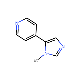 CCn1cncc1-c1ccncc1